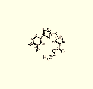 CCOC(=O)c1cnn(Cc2nc(-c3ccc(F)c(F)c3)cs2)c1